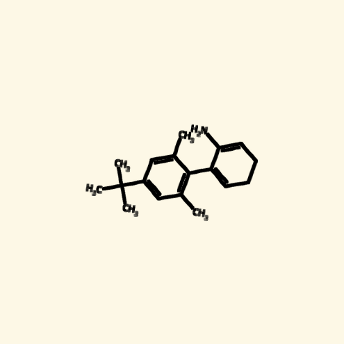 Cc1cc(C(C)(C)C)cc(C)c1C1=CCCC=C1N